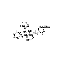 COc1ccc(CNC(=O)[C@H](CSCC2CCCCC2)NC(=O)C2NCCS2)cc1.Cl